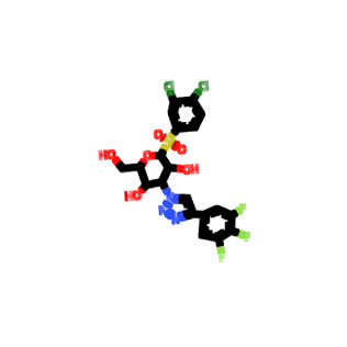 O=S(=O)(c1ccc(Cl)c(Cl)c1)C1OC(CO)C(O)C(n2cc(-c3cc(F)c(F)c(F)c3)nn2)C1O